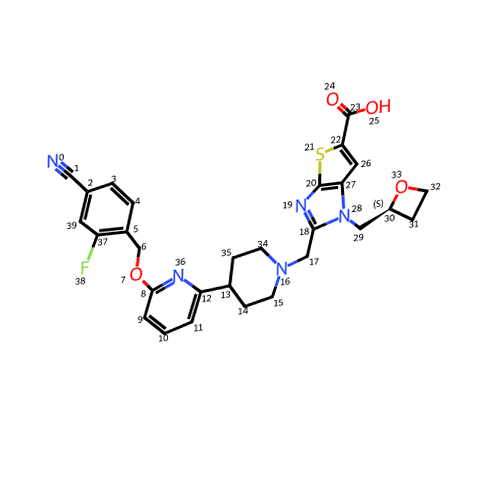 N#Cc1ccc(COc2cccc(C3CCN(Cc4nc5sc(C(=O)O)cc5n4C[C@@H]4CCO4)CC3)n2)c(F)c1